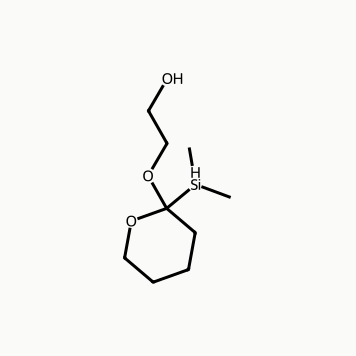 C[SiH](C)C1(OCCO)CCCCO1